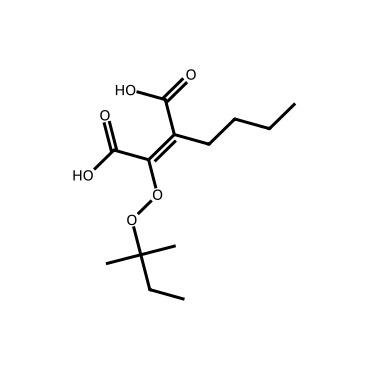 CCCCC(C(=O)O)=C(OOC(C)(C)CC)C(=O)O